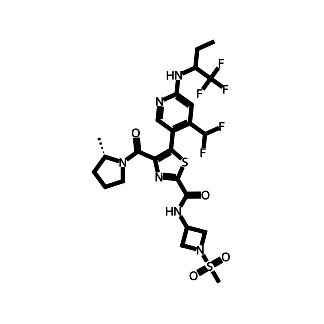 CCC(Nc1cc(C(F)F)c(-c2sc(C(=O)NC3CN(S(C)(=O)=O)C3)nc2C(=O)N2CCC[C@@H]2C)cn1)C(F)(F)F